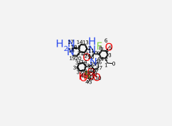 CCc1cc(OC)c(F)c([C@H](Nc2ccc3c(N)nccc3c2)C(=O)N2CCC(C(=O)O)C2c2ccccc2S(=O)(=O)CC)c1